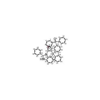 O=P(c1ccccc1)(c1ccccc1)c1ccc2c(c1)C1(c3ccccc3-2)c2ccccc2N2c3c(cccc31)NC2c1ccccc1